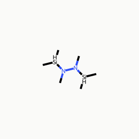 CN(N(C)[SiH](C)C)[SiH](C)C